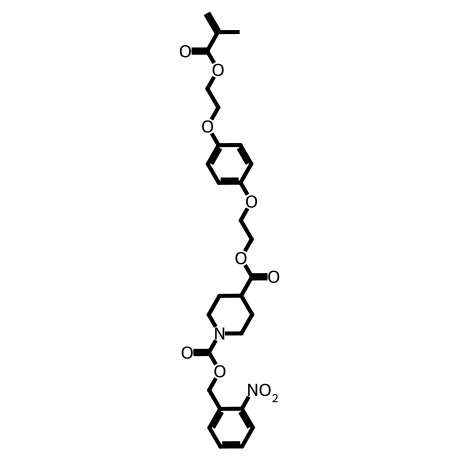 C=C(C)C(=O)OCCOc1ccc(OCCOC(=O)C2CCN(C(=O)OCc3ccccc3[N+](=O)[O-])CC2)cc1